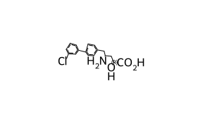 NC(Cc1ccc(-c2cccc(Cl)c2)cc1)C[C@@H](O)C(=O)O